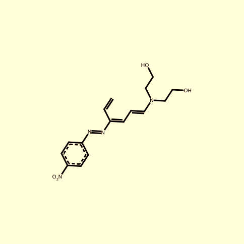 C=CC(=C\C=C\N(CCO)CCO)/N=N/c1ccc([N+](=O)[O-])cc1